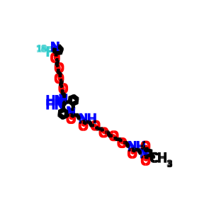 CC1CC(=O)N(CCC(=O)NCCOCCOCCOCCOCCC(=O)NCCC(=O)N2Cc3ccccc3C3=C(NNN3CCOCCOCCOCCOc3cccnc3[18F])c3ccccc32)C1=O